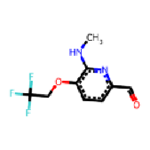 CNc1nc(C=O)ccc1OCC(F)(F)F